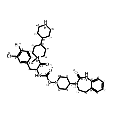 CCc1ccc(CC(NC(=O)ON2CCC(N3CCc4ccccc4NC3=O)CC2)C(=O)[N+]2(C)CCC(C3CCNCC3)CC2)cc1CC